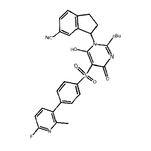 CCCCc1nc(=O)c(S(=O)(=O)c2ccc(-c3ccc(F)nc3C)cc2)c(O)n1C1CCc2ccc(C#N)cc21